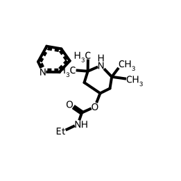 CCNC(=O)OC1CC(C)(C)NC(C)(C)C1.c1ccncc1